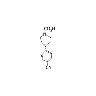 N#Cc1ccc(N2CCN(C(=O)O)CC2)cc1